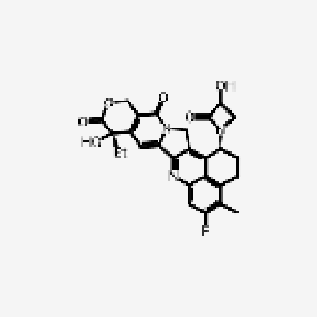 CC[C@@]1(O)C(=O)OCc2c1cc1n(c2=O)Cc2c-1nc1cc(F)c(C)c3c1c2[C@@H](N1CC(O)C1=O)CC3